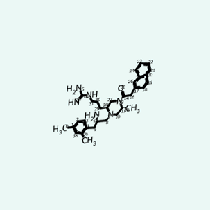 Cc1ccc(C[C@@H](N)CN2C[C@@H](C)N(C(=O)Cc3ccc4ccccc4c3)C[C@@H]2CCCNC(=N)N)c(C)c1